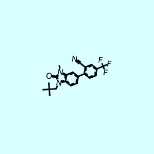 Cn1c(=O)n(CC(C)(C)C)c2ccc(-c3ccc(C(F)(F)F)cc3C#N)cc21